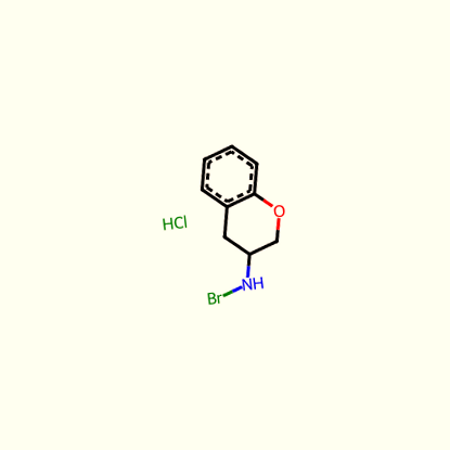 BrNC1COc2ccccc2C1.Cl